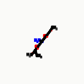 CCCCCCCCCCCOC(=O)CCCCCN(CCN)CCCCCCCC(=O)OCCCC(CCCCC)CCCCC